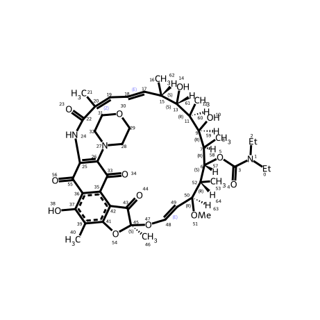 CCN(CC)C(=O)O[C@H]1[C@H](C)[C@H](O)[C@H](C)[C@@H](O)[C@@H](C)/C=C/C=C(/C)C(=O)NC2=C(N3CCOCC3)C(=O)c3c(c(O)c(C)c4c3C(=O)[C@@](C)(O/C=C/[C@H](OC)[C@H]1C)O4)C2=O